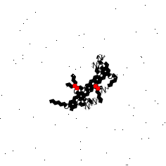 CCCCCCOc1cc(Cc2cc(OCC[N+](C)(C)C)c(Cc3cc(OCC[N+](C)(C)C)c(Cc4cc(OCC[N+](C)(C)C)c(Cc5cc(OCC[N+](C)(C)C)c(CC)cc5OCCCCCC)cc4OCCCCCC)cc3OCCCCCC)cc2OCCCCCC)c(OCC[N+](C)(C)C)cc1C